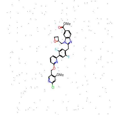 COC(=O)c1ccc2nc(Cc3cc(F)c(-c4cccc(OCc5cnc(Cl)cc5OC)n4)cc3F)n(C[C@@H]3CCO3)c2c1